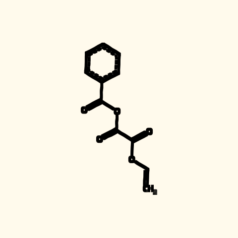 C=COC(=O)C(=O)OC(=O)c1ccccc1